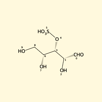 O=C[C@H](O)[C@@H](OS(=O)(=O)O)[C@H](O)CO